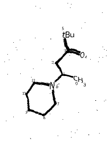 CC(CC(=O)C(C)(C)C)N1CCCCC1